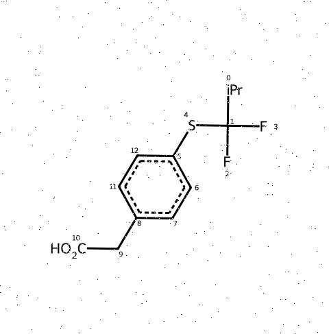 CC(C)C(F)(F)Sc1ccc(CC(=O)O)cc1